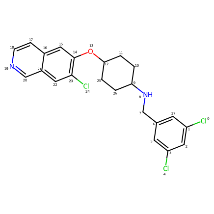 Clc1cc(Cl)cc(CNC2CCC(Oc3cc4ccncc4cc3Cl)CC2)c1